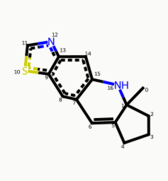 CC12CCCC1=Cc1cc3scnc3cc1N2